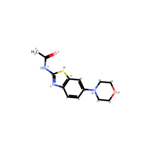 CC(=O)Nc1nc2ccc(N3CCOCC3)cc2s1